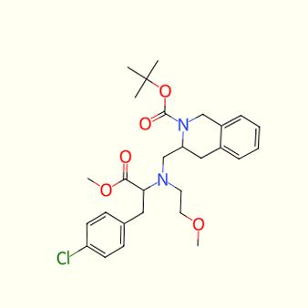 COCCN(CC1Cc2ccccc2CN1C(=O)OC(C)(C)C)C(Cc1ccc(Cl)cc1)C(=O)OC